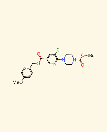 COc1ccc(COC(=O)c2cnc(N3CCN(C(=O)OC(C)(C)C)CC3)c(Cl)c2)cc1